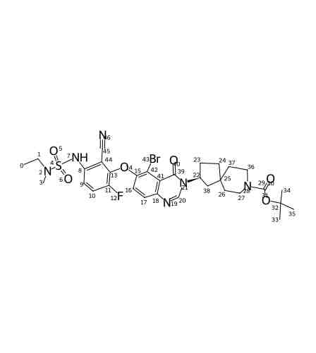 CCN(C)S(=O)(=O)Nc1ccc(F)c(Oc2ccc3ncn([C@H]4CCC5(CCN(C(=O)OC(C)(C)C)CC5)C4)c(=O)c3c2Br)c1C#N